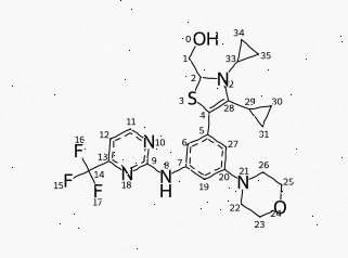 OCC1SC(c2cc(Nc3nccc(C(F)(F)F)n3)cc(N3CCOCC3)c2)=C(C2CC2)N1C1CC1